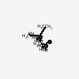 CC(C)CCCCCCc1ccc(C(=O)O)c(C(=O)O)c1CCCCCCC(C)C.CCCCc1c(Cc2ccccc2)ccc(C(=O)O)c1C(=O)O